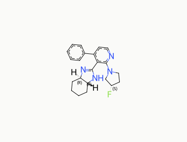 F[C@H]1CCN(c2nccc(-c3ccccc3)c2C2=N[C@@H]3CCCC[C@H]3N2)C1